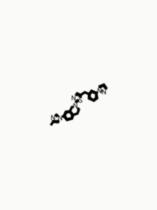 Cc1cn(-c2ccc3c(c2)CN(c2ncc(Cc4cccc(-n5cccn5)c4)s2)CC3)cn1